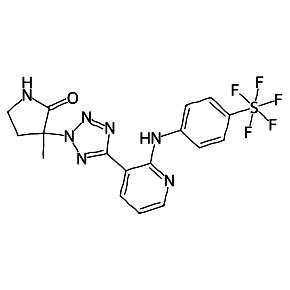 CC1(n2nnc(-c3cccnc3Nc3ccc(S(F)(F)(F)(F)F)cc3)n2)CCNC1=O